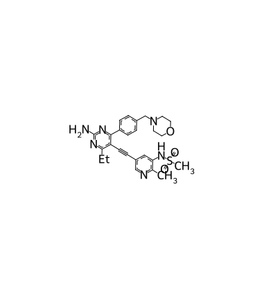 CCc1nc(N)nc(-c2ccc(CN3CCOCC3)cc2)c1C#Cc1cnc(C)c(NS(C)(=O)=O)c1